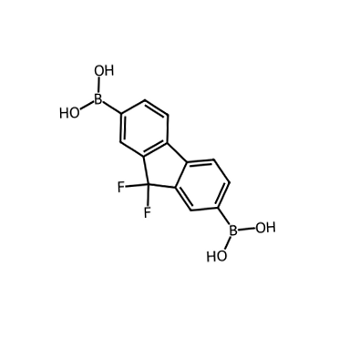 OB(O)c1ccc2c(c1)C(F)(F)c1cc(B(O)O)ccc1-2